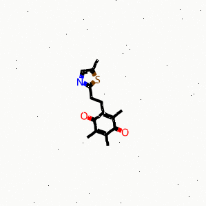 CC1=C(C)C(=O)C(CCc2ncc(C)s2)=C(C)C1=O